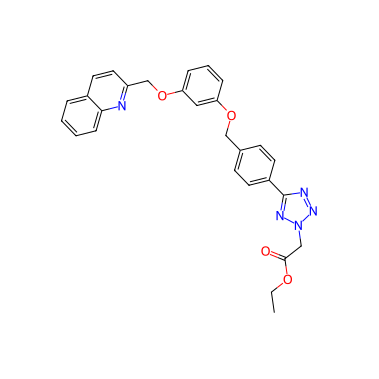 CCOC(=O)Cn1nnc(-c2ccc(COc3cccc(OCc4ccc5ccccc5n4)c3)cc2)n1